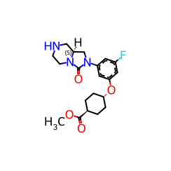 COC(=O)[C@H]1CC[C@H](Oc2cc(F)cc(N3C[C@@H]4CNCCN4C3=O)c2)CC1